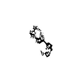 C[C@H]1CCOc2c(cnn2C)-c2nccc(n2)Nc2cc3c(cn2)c(-c2ccc(CN4CC[C@H](N(C)C)C4)n2C)nn31